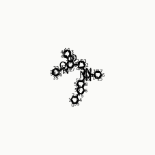 c1ccc(-c2ccc3cc(-c4nc(-c5ccccc5)nc(-c5cccc(-c6cc7nc(-c8ccccc8)oc7c7c6oc6ccccc67)c5)n4)ccc3c2)cc1